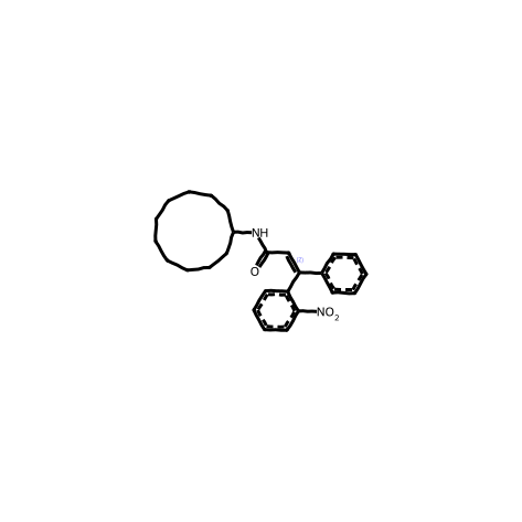 O=C(/C=C(/c1ccccc1)c1ccccc1[N+](=O)[O-])NC1CCCCCCCCCC1